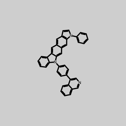 c1ccc(-n2ccc3cc4cc5c6ccccc6n(-c6ccc(-c7cncc8ccccc78)cc6)c5cc4cc32)cc1